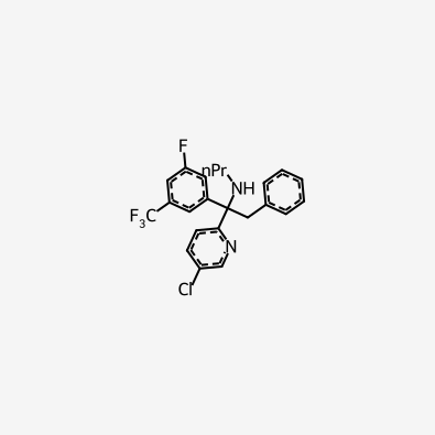 CCCNC(Cc1ccccc1)(c1cc(F)cc(C(F)(F)F)c1)c1ccc(Cl)cn1